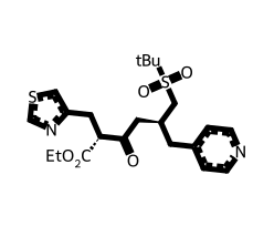 CCOC(=O)[C@H](Cc1cscn1)C(=O)C[C@H](Cc1ccncc1)CS(=O)(=O)C(C)(C)C